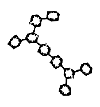 c1ccc(-c2ccnc(-c3cc(-c4ccccc4)cc(-c4ccc(-c5ccc(-c6cc(-c7ccccc7)nc(-c7ccccc7)n6)cc5)cn4)n3)c2)cc1